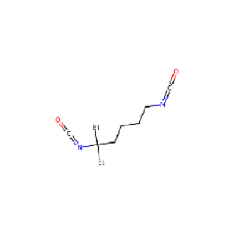 CCC(CC)(CCCCN=C=O)N=C=O